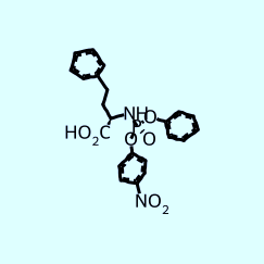 O=C(O)[C@@H](CCc1ccccc1)NP(=O)(Oc1ccccc1)Oc1ccc([N+](=O)[O-])cc1